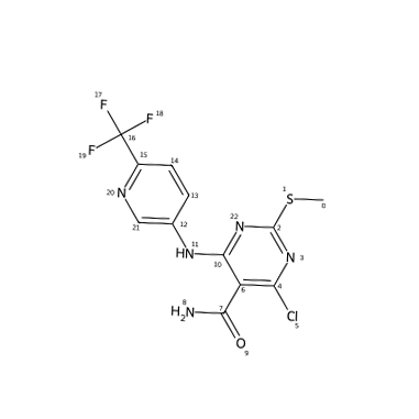 CSc1nc(Cl)c(C(N)=O)c(Nc2ccc(C(F)(F)F)nc2)n1